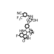 Cn1ncnc1C1c2n[nH]c(=O)c3cc(F)cc(c23)N[C@H]1c1ccc(OCC(C)(O)C(=O)Nc2ccc(C#N)c(C(F)(F)F)c2)cc1